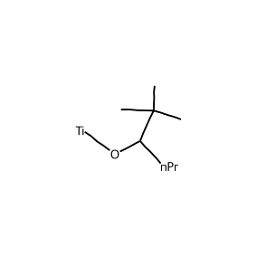 CCCC([O][Ti])C(C)(C)C